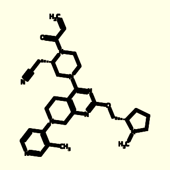 C=CC(=O)N1CCN(c2nc(OC[C@@H]3CCCN3C)nc3c2CCN(c2ccncc2C)C3)C[C@@H]1CC#N